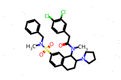 CN(C(=O)Cc1ccc(Cl)c(Cl)c1)C1c2cc(S(=O)(=O)N(C)Cc3ccccc3)ccc2CCC1N1CCCC1